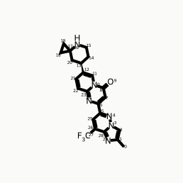 Cc1cn2nc(-c3cc(=O)n4cc([C@@H]5CCNC6(CC6)C5)ccc4n3)cc(C(F)(F)F)c2n1